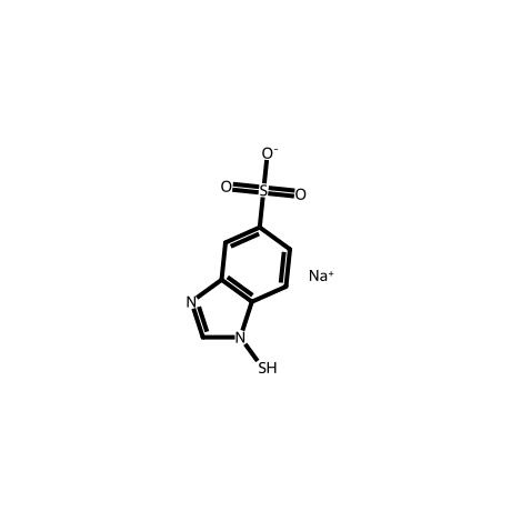 O=S(=O)([O-])c1ccc2c(c1)ncn2S.[Na+]